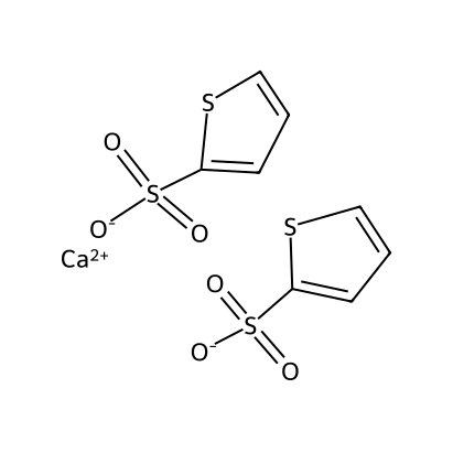 O=S(=O)([O-])c1cccs1.O=S(=O)([O-])c1cccs1.[Ca+2]